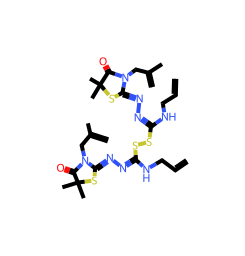 C=CCNC(=NN=C1SC(C)(C)C(=O)N1CC(=C)C)SSC(=NN=C1SC(C)(C)C(=O)N1CC(=C)C)NCC=C